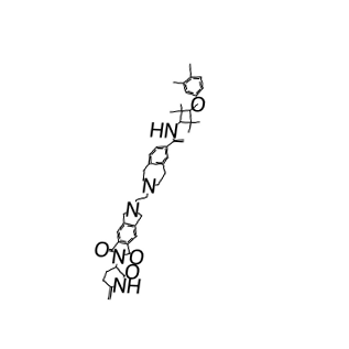 C=C1CCC(N2C(=O)c3cc4c(cc3C2=O)CN(CCN2CCc3ccc(C(=C)NC5C(C)(C)C(Oc6ccc(C)c(C)c6)C5(C)C)cc3CC2)C4)C(=O)N1